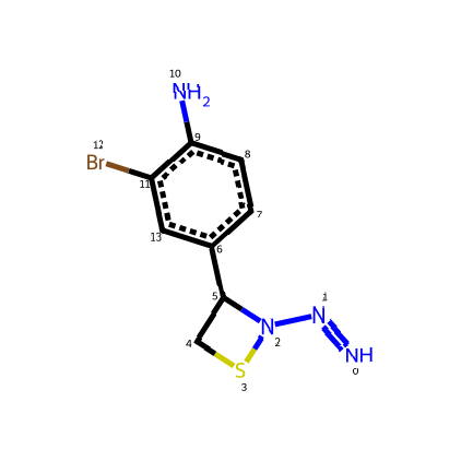 N=NN1SCC1c1ccc(N)c(Br)c1